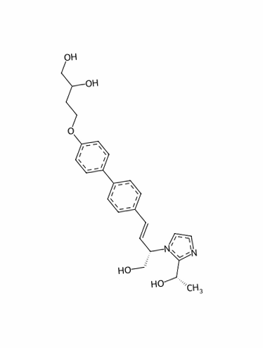 C[C@H](O)c1nccn1[C@@H](/C=C/c1ccc(-c2ccc(OCCC(O)CO)cc2)cc1)CO